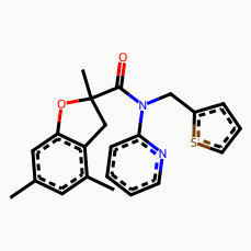 Cc1cc(C)c2c(c1)OC(C)(C(=O)N(Cc1cccs1)c1ccccn1)C2